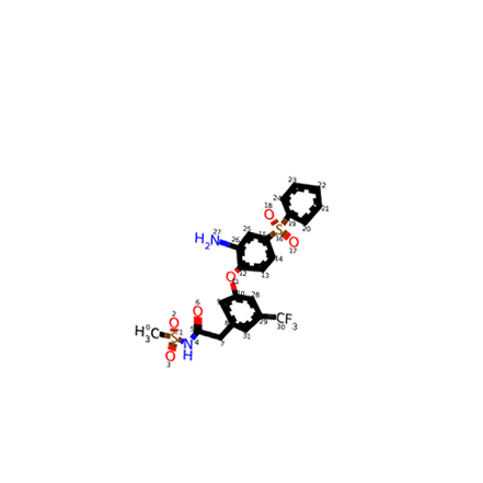 CS(=O)(=O)NC(=O)Cc1cc(Oc2ccc(S(=O)(=O)c3ccccc3)cc2N)cc(C(F)(F)F)c1